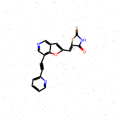 O=C1NC(=S)S/C1=C\c1cc2cncc(C#Cc3ccccn3)c2o1